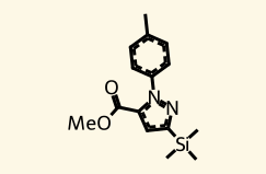 COC(=O)c1cc([Si](C)(C)C)nn1-c1ccc(C)cc1